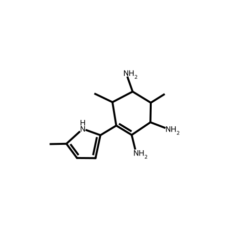 Cc1ccc(C2=C(N)C(N)C(C)C(N)C2C)[nH]1